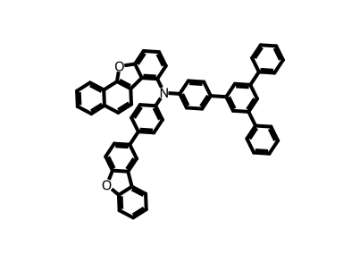 c1ccc(-c2cc(-c3ccccc3)cc(-c3ccc(N(c4ccc(-c5ccc6oc7ccccc7c6c5)cc4)c4cccc5oc6c7ccccc7ccc6c45)cc3)c2)cc1